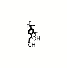 C#CCC(O)c1ccc(C(F)(F)F)cc1F